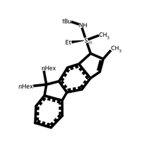 CCCCCCC1(CCCCCC)c2ccccc2-c2cc3c(cc21)C([S@](C)(CC)NC(C)(C)C)C(C)=C3